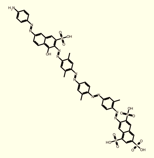 Cc1cc(N=Nc2cc(C)c(N=Nc3c(S(=O)(=O)O)cc4cc(N=Nc5ccc(N)cc5)ccc4c3O)cc2C)ccc1N=Nc1ccc(N=Nc2cc3c(S(=O)(=O)O)cc(S(=O)(=O)O)cc3cc2S(=O)(=O)O)c(C)c1